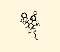 COc1ccccc1NC(=O)C1=C(C)NC(SCCCF)=C(C#N)C1c1ccc(Cl)cc1Cl